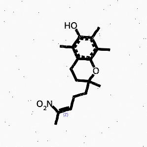 C/C(=C/CCC1(C)CCc2c(C)c(O)c(C)c(C)c2O1)[N+](=O)[O-]